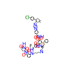 CN(CCCCCNc1cccc2c1C(=O)N(C1CCC(=O)NC1=O)C2=O)CC[C@H](CSc1ccccc1)Nc1ccc(S(=O)(=O)NC(=O)c2ccc(N3CCN(CC4=C(c5ccc(Cl)cc5)CCC(C)(C)C4)CC3)cc2)cc1S(=O)(=O)C(F)(F)F